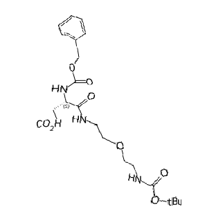 CC(C)(C)OC(=O)NCCOCCNC(=O)[C@H](CC(=O)O)NC(=O)OCc1ccccc1